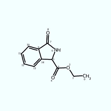 CCOC(=O)C1NC(=O)c2ccccc21